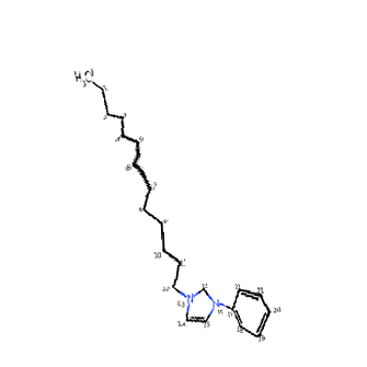 CCCCCCCCCCCCCN1C=CN(c2ccccc2)C1